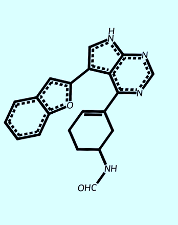 O=CNC1CCC=C(c2ncnc3[nH]cc(-c4cc5ccccc5o4)c23)C1